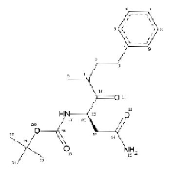 CN(CCc1ccccc1)C(=O)[C@@H](CC(N)=O)NC(=O)OC(C)(C)C